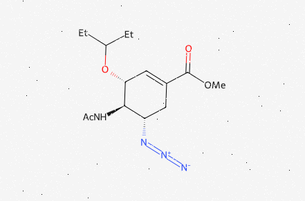 CCC(CC)O[C@@H]1C=C(C(=O)OC)C[C@H](N=[N+]=[N-])[C@H]1NC(C)=O